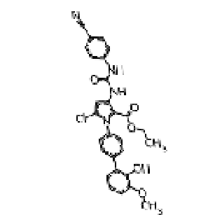 CCOC(=O)c1c(NC(=O)Nc2ccc(C#N)cc2)cc(Cl)n1-c1ccc(-c2cccc(OC)c2O)cc1